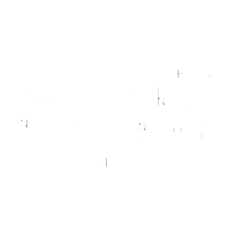 O=C(Nc1ccc(-c2cc(-c3nccs3)ccc2Cl)cn1)c1c(F)cccc1F